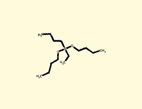 CCCCO[Si](CC)(CCCN)OCCCC